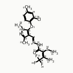 Cc1ccc(Oc2c(/C=N/NC(=O)/C(SN)=C(/N)C(F)(F)F)c(C)nn2C)c(Cl)c1